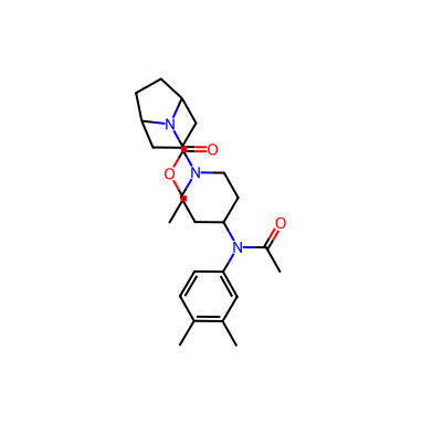 CCOC(=O)N1C2CCC1CC(N1CCC(N(C(C)=O)c3ccc(C)c(C)c3)CC1)C2